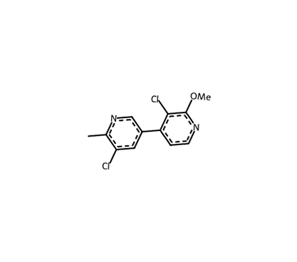 COc1nccc(-c2cnc(C)c(Cl)c2)c1Cl